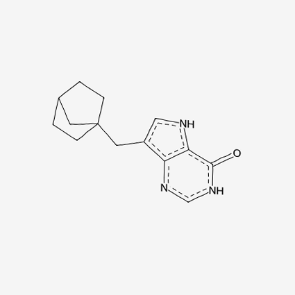 O=c1[nH]cnc2c(CC34CCC(CC3)C4)c[nH]c12